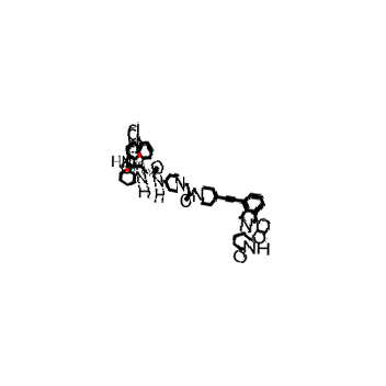 O=C1CCC(N2Cc3c(C#CC4CCN(C(=O)CN5CCC(NC(=O)[C@@H]6NC7(CCCCC7)[C@@]7(C(=O)Nc8cc(Cl)ccc87)[C@H]6c6cccc(Cl)c6F)CC5)CC4)cccc3C2=O)C(=O)N1